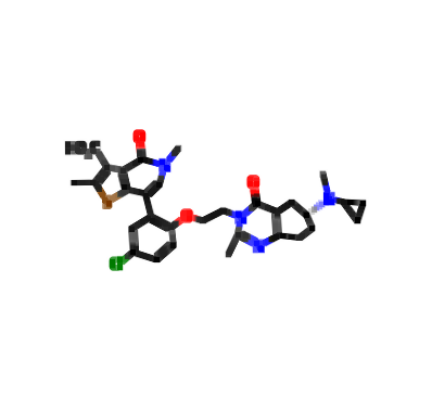 Cc1sc2c(-c3cc(Cl)ccc3OCCn3c(C)nc4c(c3=O)C[C@H](N(C)C3CC3)CC4)cn(C)c(=O)c2c1C(=O)O